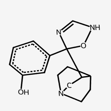 Oc1cccc(C2(C3CN4CCC3CC4)N=CNO2)c1